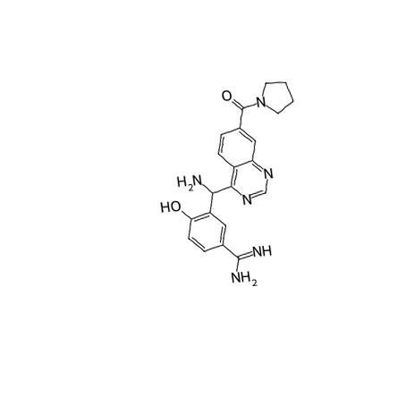 N=C(N)c1ccc(O)c(C(N)c2ncnc3cc(C(=O)N4CCCC4)ccc23)c1